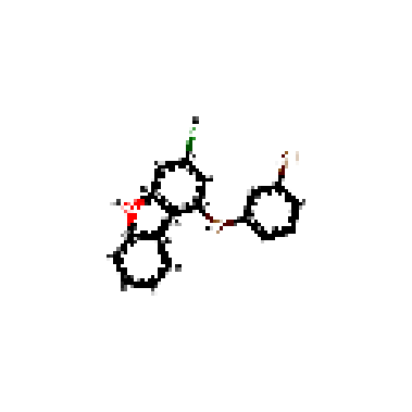 Sc1cccc(Sc2cc(Cl)cc3oc4ccccc4c23)c1